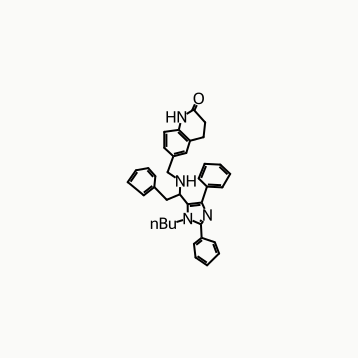 CCCCn1c(-c2ccccc2)nc(-c2ccccc2)c1C(Cc1ccccc1)NCc1ccc2c(c1)CCC(=O)N2